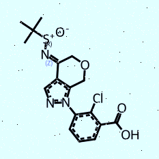 CC(C)(C)[S@+]([O-])/N=C1\COCc2c1cnn2-c1cccc(C(=O)O)c1Cl